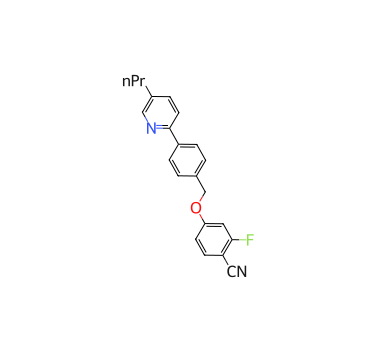 CCCc1ccc(-c2ccc(COc3ccc(C#N)c(F)c3)cc2)nc1